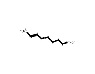 [CH2]CCCCCCCCCCCCCC=CCCCCCCCC